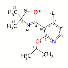 [Li][c]1ccnc(OC(C)C)c1C1=NC(C)(C)CO1